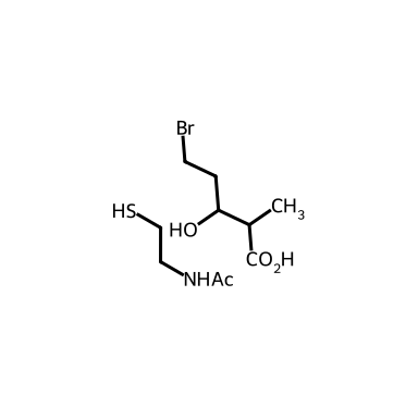 CC(=O)NCCS.CC(C(=O)O)C(O)CCBr